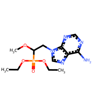 CCOP(=O)(OCC)C(Cn1cnc2c(N)ncnc21)OC